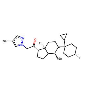 CCCC[C@H]1C2CC[C@H](C(=O)Cn3cc(C#N)cn3)[C@@]2(CC)CCC1[C@]1(C2CC2)CC[C@@H](C)CC1